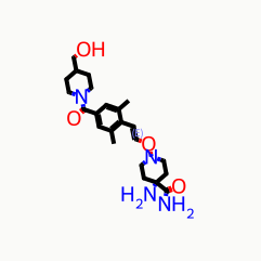 Cc1cc(C(=O)N2CCC(CO)CC2)cc(C)c1/C=C/ON1CCC(N)(C(N)=O)CC1